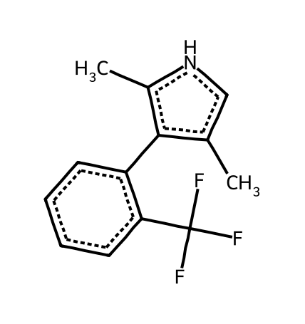 Cc1c[nH]c(C)c1-c1ccccc1C(F)(F)F